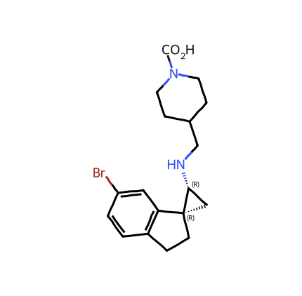 O=C(O)N1CCC(CN[C@@H]2C[C@@]23CCc2ccc(Br)cc23)CC1